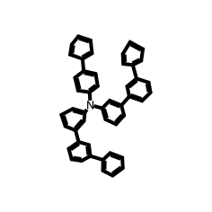 c1ccc(-c2ccc(N(c3cccc(-c4cccc(-c5ccccc5)c4)c3)c3cccc(-c4cccc(-c5ccccc5)c4)c3)cc2)cc1